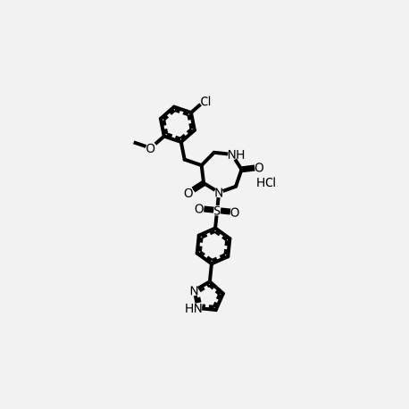 COc1ccc(Cl)cc1CC1CNC(=O)CN(S(=O)(=O)c2ccc(-c3cc[nH]n3)cc2)C1=O.Cl